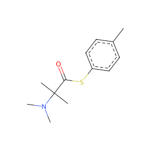 Cc1ccc(SC(=O)C(C)(C)N(C)C)cc1